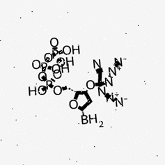 B[C@H]1C[C@@H](OC(C#N)(N=[N+]=[N-])N=[N+]=[N-])[C@@H](COP(=O)(O)OP(=O)(O)OP(=O)(O)O)O1